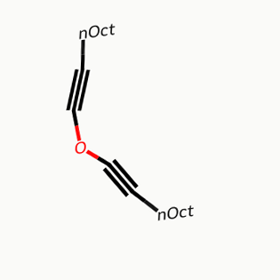 CCCCCCCCC#COC#CCCCCCCCC